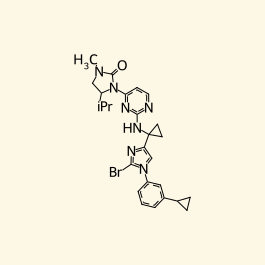 CC(C)C1CN(C)C(=O)N1c1ccnc(NC2(c3cn(-c4cccc(C5CC5)c4)c(Br)n3)CC2)n1